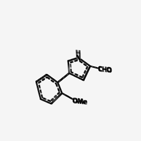 COc1ccccc1-c1c[nH]c(C=O)c1